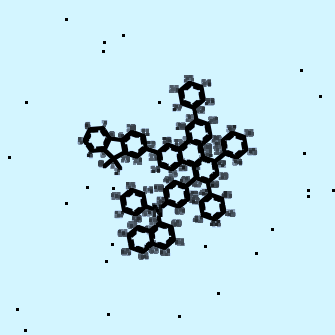 CC1(C)c2ccccc2-c2ccc(-c3ccc4c(c3)c3cc(-c5ccccc5)ccc3c3c(-c5ccccc5)cc(-c5ccccc5)c(-c5ccc(N(c6ccccc6)c6cccc7ccccc67)cc5)c43)cc21